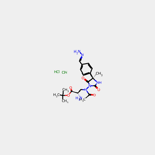 CC(=O)N(C[C@H](N)C(=O)OC(C)(C)C)N1C(=O)N[C@](C)(c2ccc(C=NN)cc2)C1=O.Cl.Cl